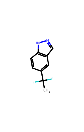 CC(F)(F)c1ccc2[nH]ncc2c1